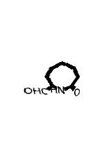 O=CC1CCCCCC(=O)N1